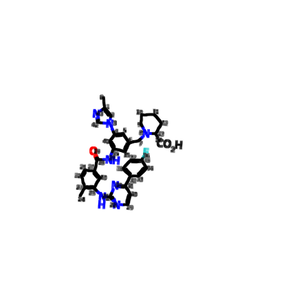 Cc1cn(-c2cc(CN3CCCCC3C(=O)O)cc(NC(=O)c3ccc(C)c(Nc4nccc(-c5ccc(F)cc5)n4)c3)c2)cn1